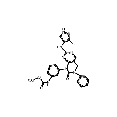 CC(C)(C)OC(=O)Nc1cccc(N2C(=O)N(c3ccccc3)Cc3cnc(Nc4c[nH]nc4Cl)nc32)c1